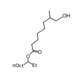 CCCCCCCCC(CC)OC(=O)CCCCCC(C)CO